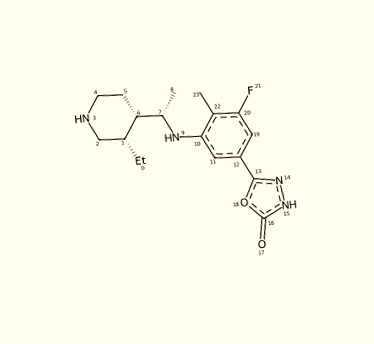 CC[C@@H]1CNCC[C@@H]1[C@H](C)Nc1cc(-c2n[nH]c(=O)o2)cc(F)c1C